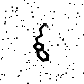 CCCCc1cc2ccccn2c1